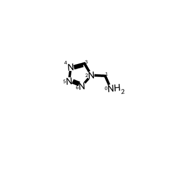 NCn1[c]nnn1